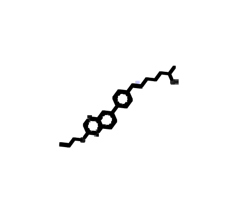 C=CCOc1cnc2cc(-c3ccc(/C=C/CCCC(C)O)cc3)ccc2n1